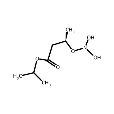 CC(C)OC(=O)C[C@@H](C)ON(O)O